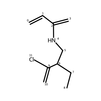 C=CC(=C)NCC(CC)C(=C)Cl